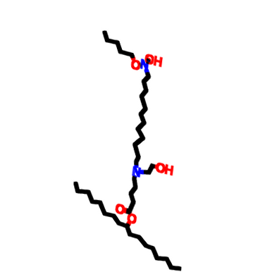 CCCCCCCCC(CCCCCCCC)OC(=O)CCCCN(CCO)CCCCCCCCCCCCN(O)OCCCCC